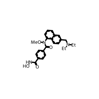 CCN(CC)Cc1ccc2c(N(OC)C(=O)c3ccc(C(=O)NO)cc3)cccc2c1